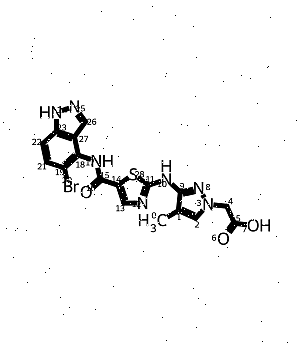 Cc1cn(CC(=O)O)nc1Nc1ncc(C(=O)Nc2c(Br)ccc3[nH]ncc23)s1